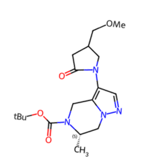 COCC1CC(=O)N(c2cnn3c2CN(C(=O)OC(C)(C)C)[C@@H](C)C3)C1